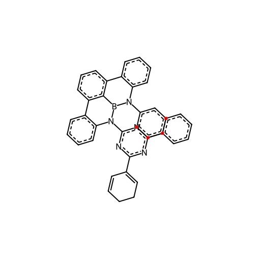 C1=CC(c2nc(-c3ccccc3)nc(N3B4c5c(cccc5-c5ccccc53)-c3ccccc3N4c3ccccc3)n2)=CCC1